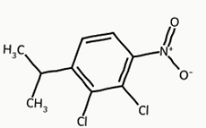 CC(C)c1ccc([N+](=O)[O-])c(Cl)c1Cl